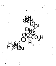 CCN1C(O[C@H](C)c2ccc(CO[Si](C)(C)C(C)(C)C)cc2Cl)=C(C(=O)O)SC1c1cnc2cnc(CS(C)(=O)=O)cn12